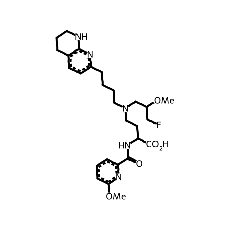 COc1cccc(C(=O)NC(CCN(CCCCc2ccc3c(n2)NCCC3)CC(CF)OC)C(=O)O)n1